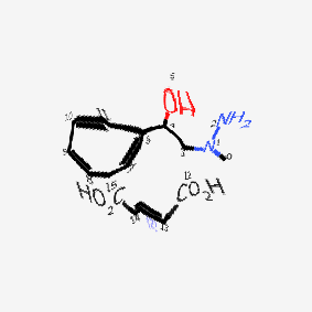 CN(N)CC(O)c1ccccc1.O=C(O)/C=C\C(=O)O